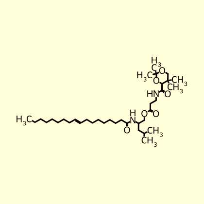 CCCCCCCCC=CCCCCCCCC(=O)NC(COC(=O)CCNC(=O)C1OC(C)(C)OCC1(C)C)CC(C)C